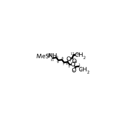 C=CC(=O)OCC(CCCCCNSC)OC(=O)C=C